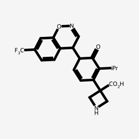 CC(C)C1=C(C2(C(=O)O)CNC2)C=CC(C2C=NOc3cc(C(F)(F)F)ccc32)C1=O